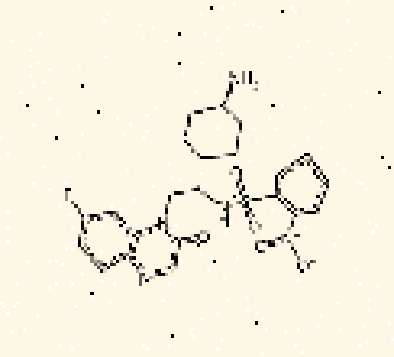 N[C@H]1CC[C@H](C(Cn2c(=O)cnc3ccc(F)cc32)NS(=O)(=O)c2ccccc2[N+](=O)[O-])CC1